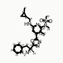 CC1CC1CNc1cc(-c2nnc([C@](C)(N)Cc3ccccc3)o2)c(F)c(N(C)S(C)(=O)=O)n1